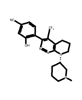 CN1CCC[C@H](N2CCCc3c2nnc(-c2ccc(C#N)cc2O)c3C(F)(F)F)C1